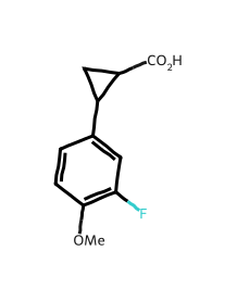 COc1ccc(C2CC2C(=O)O)cc1F